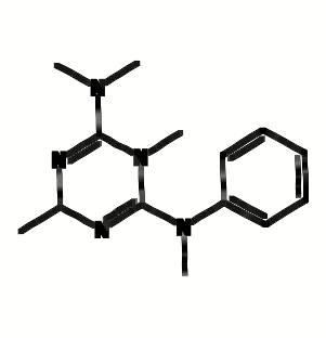 CC1N=C(N(C)C)N(C)C(N(C)c2ccccc2)=N1